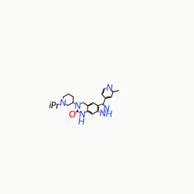 Cc1cc(-c2n[nH]c3cc4c(cc23)CN([C@@H]2CCCN(C(C)C)C2)C(=O)N4)ccn1